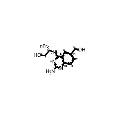 CCC[C@@H](CO)Nc1nc(N)nc2ccc(CO)cc12